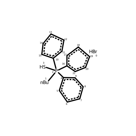 Br.CCCCP(S)(c1ccccc1)(c1ccccc1)c1ccccc1